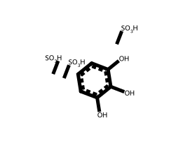 CS(=O)(=O)O.CS(=O)(=O)O.CS(=O)(=O)O.Oc1cccc(O)c1O